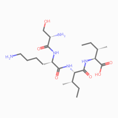 CC[C@H](C)[C@H](NC(=O)[C@@H](NC(=O)[C@H](CCCCN)NC(=O)[C@@H](N)CO)[C@@H](C)CC)C(=O)O